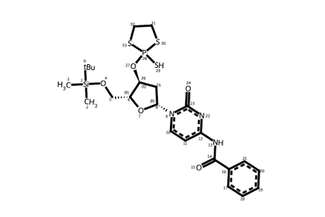 CC(C)(C)[Si](C)(C)OC[C@H]1O[C@@H](n2ccc(NC(=O)c3ccccc3)nc2=O)C[C@@H]1O[P]1(S)SCCS1